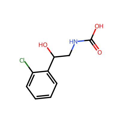 O=C(O)NCC(O)c1ccccc1Cl